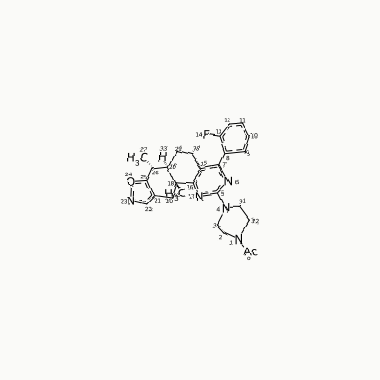 CC(=O)N1CCN(c2nc(-c3ccccc3F)c3c(n2)[C@]2(C)Cc4cnoc4[C@H](C)[C@H]2CC3)CC1